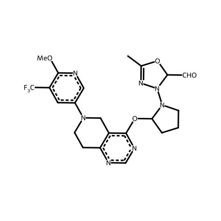 COc1ncc(N2CCc3ncnc(OC4CCCN4N4N=C(C)OC4C=O)c3C2)cc1C(F)(F)F